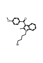 COc1ccc(C(=O)c2c(C)n(CCCCBr)c3ccccc23)cc1